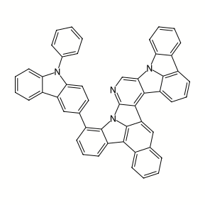 c1ccc(-n2c3ccccc3c3cc(-c4cccc5c6c7ccccc7cc7c8c9c%10cccc%11c%12ccccc%12n(c9cnc8n(c45)c76)c%11%10)ccc32)cc1